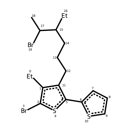 CCc1c(Br)sc(-c2cccs2)c1CCCC(CC)C(C)Br